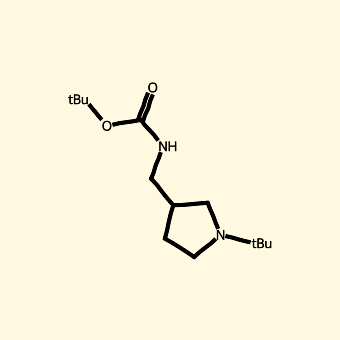 CC(C)(C)OC(=O)NCC1CCN(C(C)(C)C)C1